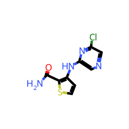 NC(=O)c1sccc1Nc1cncc(Cl)n1